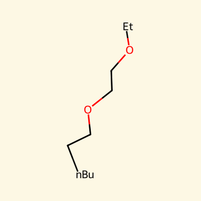 [CH2]COCCOCCCCCC